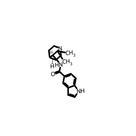 CC1(C)[C@@H](NC(=O)c2ccc3[nH]ccc3c2)C2CCN1CC2